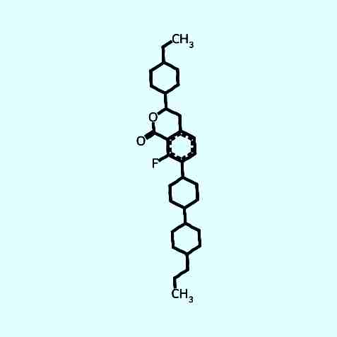 CCCC1CCC(C2CCC(c3ccc4c(c3F)C(=O)OC(C3CCC(CC)CC3)C4)CC2)CC1